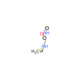 Cc1ccc(CNCCCc2ccc(C(=O)NCc3ccccc3)cc2)s1